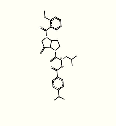 COc1ccccc1C(=O)N1CC(=O)C2C1CCN2C(=O)[C@H](CC(C)C)NC(=O)c1ccc(N(C)C)cc1